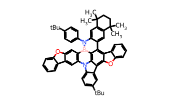 CC(C)(C)c1ccc(N2B3c4cc5oc6ccccc6c5cc4-n4c5ccc(C(C)(C)C)cc5c5c6oc7ccccc7c6c(c3c54)-c3cc4c(cc32)C(C)(C)CCC4(C)C)cc1